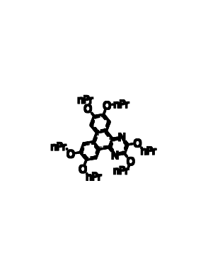 CCCOc1cc2c3cc(OCCC)c(OCCC)cc3c3nc(OCCC)c(OCCC)nc3c2cc1OCCC